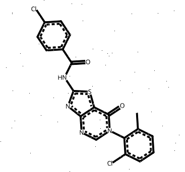 Cc1cccc(Cl)c1-n1cnc2nc(NC(=O)c3ccc(Cl)cc3)sc2c1=O